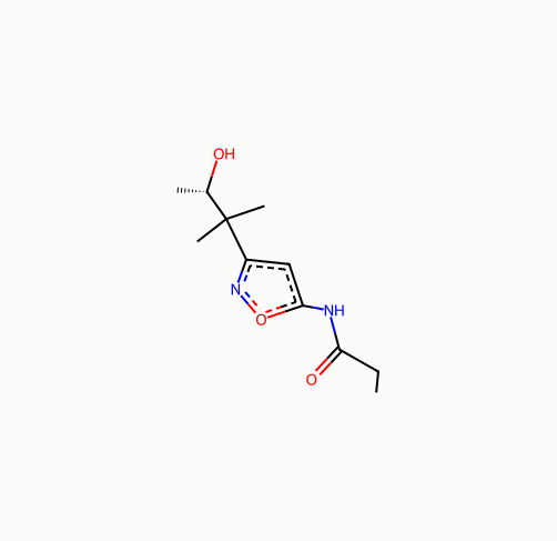 CCC(=O)Nc1cc(C(C)(C)[C@H](C)O)no1